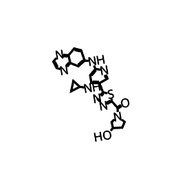 O=C(c1nnc(-c2cnc(Nc3ccc4nccnc4c3)cc2NC2CC2)s1)N1CCC(O)C1